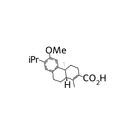 COc1cc2c(cc1C(C)C)CC[C@H]1C(C)=C(C(=O)O)CC[C@]21C